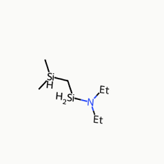 CCN(CC)[SiH2]C[SiH](C)C